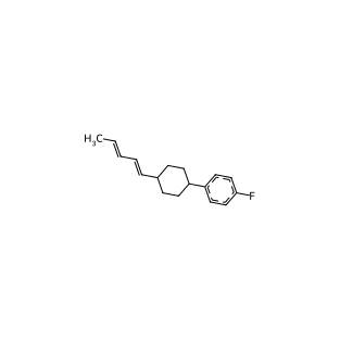 C/C=C/C=C/C1CCC(c2ccc(F)cc2)CC1